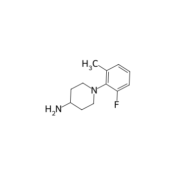 Cc1cccc(F)c1N1CCC(N)CC1